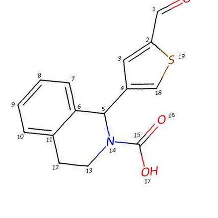 O=Cc1cc(C2c3ccccc3CCN2C(=O)O)cs1